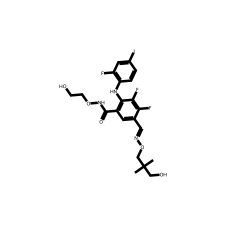 CC(C)(CO)CON=Cc1cc(C(=O)NOCCO)c(Nc2ccc(I)cc2F)c(F)c1F